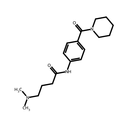 CN(C)CCCC(=O)Nc1ccc(C(=O)N2CCCCC2)cc1